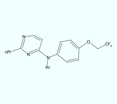 CCCc1nccc(N(C(C)=O)c2ccc(OCC(F)(F)F)cc2)n1